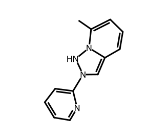 CC1=CC=CC2=CN(c3ccccn3)NN12